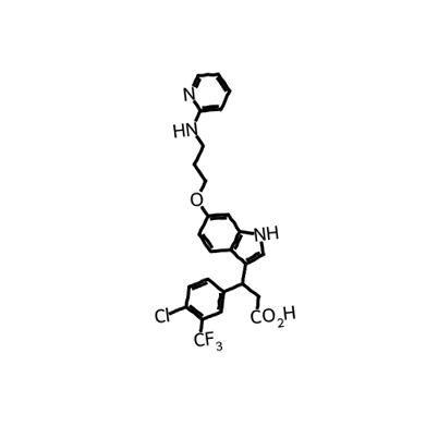 O=C(O)CC(c1ccc(Cl)c(C(F)(F)F)c1)c1c[nH]c2cc(OCCCNc3ccccn3)ccc12